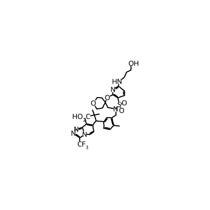 Cc1ccc(C(c2ccn3c(C(F)(F)F)nnc3c2C)C(C)(C)C(=O)O)cc1CN1CC2(CCOCC2)Oc2nc(NCCCO)ccc2S1(=O)=O